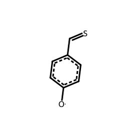 [O]c1ccc(C=S)cc1